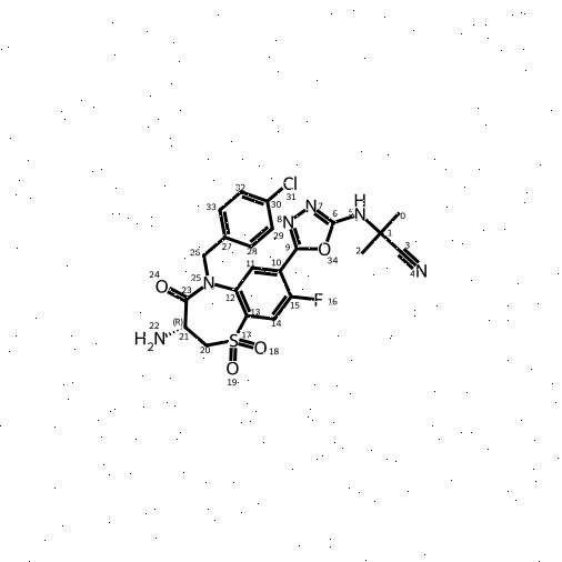 CC(C)(C#N)Nc1nnc(-c2cc3c(cc2F)S(=O)(=O)C[C@H](N)C(=O)N3Cc2ccc(Cl)cc2)o1